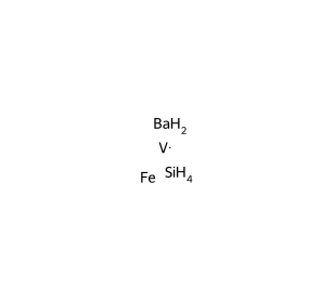 [BaH2].[Fe].[SiH4].[V]